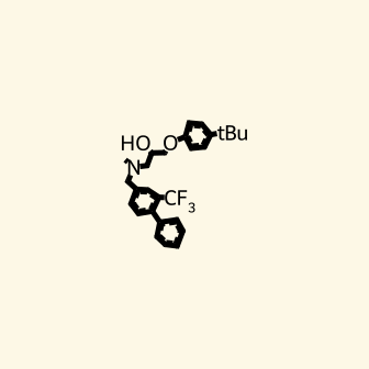 CN(Cc1ccc(-c2ccccc2)c(C(F)(F)F)c1)CC(O)COc1ccc(C(C)(C)C)cc1